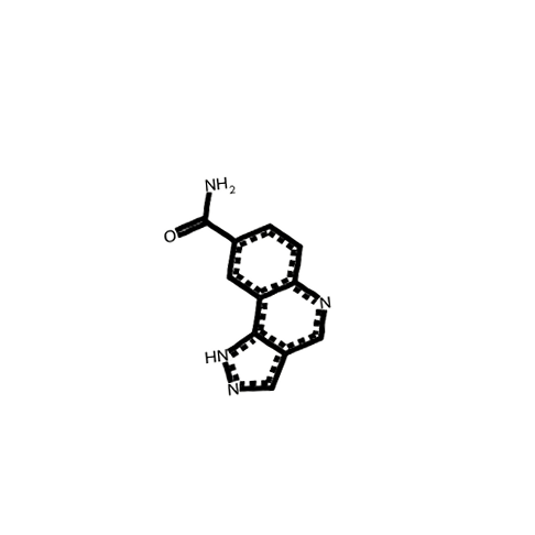 NC(=O)c1ccc2ncc3cn[nH]c3c2c1